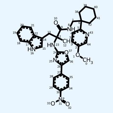 COc1ccc(C2(CNC(=O)C(C)(Cc3c[nH]c4ccccc34)Nc3nc(-c4ccc([N+](=O)[O-])cc4)co3)CCCCC2)nc1